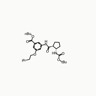 CCCCOC(=O)c1cc(NC(=O)[C@H]2CCC[C@@H]2NC(=O)OC(C)(C)C)cc(OCCC(C)C)c1